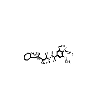 COc1cc(C(=O)NNC(=O)C(O)[C@H](N)CC2CCCCC2)cc(OC)c1OC